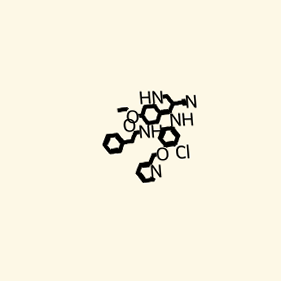 CCOC1CC2NCC(C#N)C(Nc3ccc(OCc4ccccn4)c(Cl)c3)=C2CC1NC(=O)Cc1ccccc1